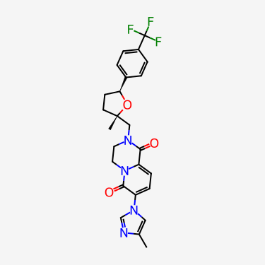 Cc1cn(-c2ccc3n(c2=O)CCN(C[C@]2(C)CC[C@@H](c4ccc(C(F)(F)F)cc4)O2)C3=O)cn1